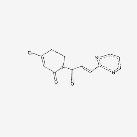 O=C1C=C(Cl)CCN1C(=O)/C=C/c1ncccn1